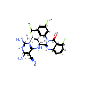 CC[C@H](Nc1nc(N)nc(N)c1C#N)c1nc2cccc(F)c2c(=O)n1-c1cc(F)cc(C(F)F)c1